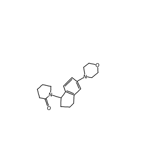 O=C1CCCCN1C1CCCc2cc(N3CCOCC3)ccc21